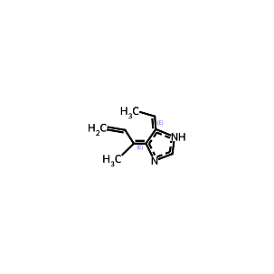 C=C/C(C)=c1/nc[nH]/c1=C/C